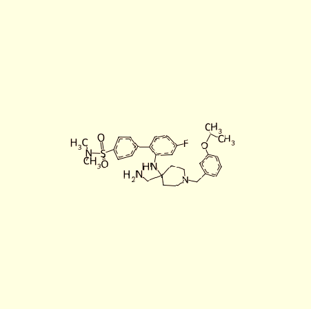 CC(C)Oc1cccc(CN2CCC(CN)(Nc3cc(F)ccc3-c3ccc(S(=O)(=O)N(C)C)cc3)CC2)c1